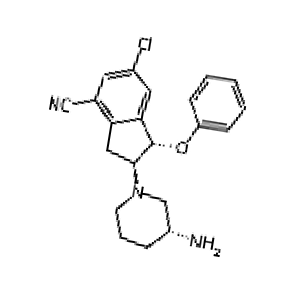 N#Cc1cc(Cl)cc2c1C[C@H](N1CCC[C@@H](N)C1)[C@H]2Oc1ccccc1